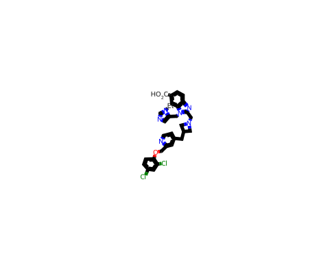 CCn1cncc1Cn1c(CN2CC(Cc3ccnc(COc4ccc(Cl)cc4Cl)c3)C2)nc2ccc(C(=O)O)cc21